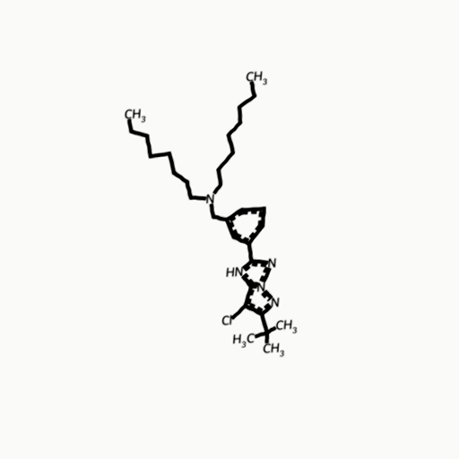 CCCCCCCCN(CCCCCCCC)Cc1cccc(-c2nn3nc(C(C)(C)C)c(Cl)c3[nH]2)c1